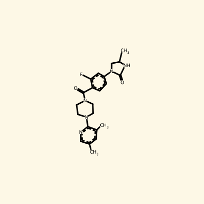 Cc1cnc(N2CCN(C(=O)c3ccc(N4CC(C)NC4=O)cc3F)CC2)c(C)c1